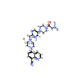 C[C@@H]1CN(c2ccc(C#N)c3ncccc23)C[C@H](C)N1Cc1ncc(N2CCN(C(=O)CN(C)C)CC2)cn1